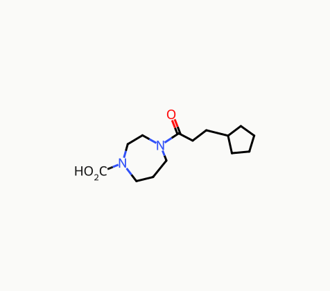 O=C(O)N1CCCN(C(=O)CCC2CCCC2)CC1